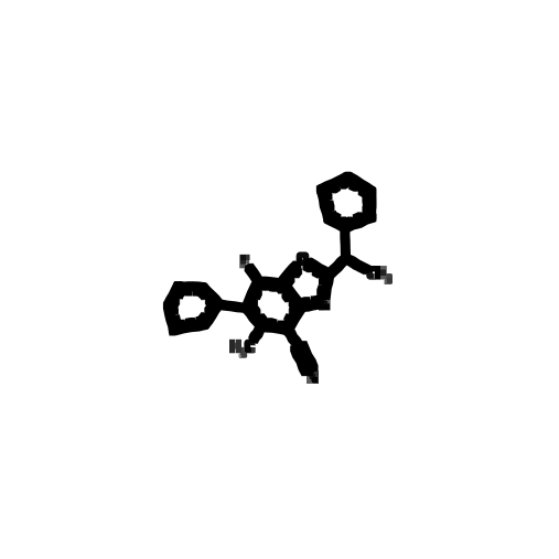 Cc1c(-c2ccccc2)c(F)c2oc(C(C)c3ccccc3)nc2c1C#N